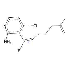 C=C(C)CCC/C=C(/F)c1c(N)ncnc1Cl